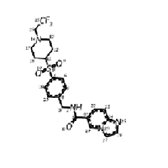 O=C(NCc1ccc(S(=O)(=O)C2CCN(CC(F)(F)F)CC2)cc1)c1ccc2nccn2c1